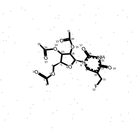 CC(=O)OC[C@@H]1O[C@H](n2cc(CF)c(=O)[nH]c2=O)C(OC(C)=O)C1OC(C)=O